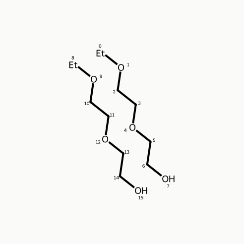 CCOCCOCCO.CCOCCOCCO